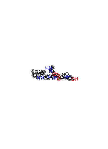 COc1cc(CN2CCN(C3CC4(CCN(c5ccc(C(=O)NS(=O)(=O)c6ccc(NCC7CCC(C)(O)CC7)c([N+](=O)[O-])c6)c(Oc6cnc7[nH]ccc7c6)c5)CC4)C3)[C@H](c3ccccc3C(C)C)C2)ccc1C1CC1